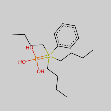 CCCCS(CCCC)(CCCC)(c1ccccc1)=P(O)(O)O